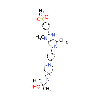 Cc1nc(-c2ccc(N3CCC4(CC3)CN(CC(C)(C)O)C4)cc2)cc2c1nc(-c1ccc(S(C)(=O)=O)cc1)n2C